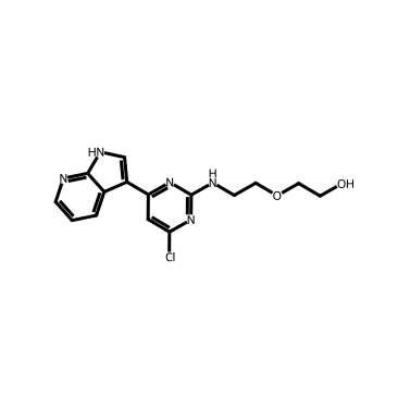 OCCOCCNc1nc(Cl)cc(-c2c[nH]c3ncccc23)n1